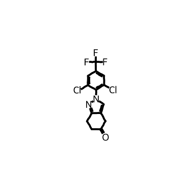 O=C1CCc2nn(-c3c(Cl)cc(C(F)(F)F)cc3Cl)cc2C1